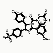 COc1cccc(C2=NC(c3ccc(S(C)(=O)=O)cc3)C(c3ccc(Cl)cc3)N2C(=O)N2CCNC(=O)C2)c1